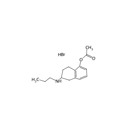 Br.CCCNC1CCc2c(cccc2OC(C)=O)C1